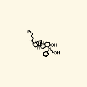 CC(C)CCC[C@@H](C)[C@H]1CC[C@H]2[C@@H]3CC=C4C(N(CCO)c5ccccc5)[C@@H](O)CC[C@]4(C)[C@H]3CC[C@]12C